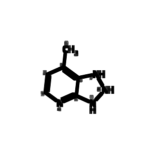 Cc1ccnc2c1NNN2